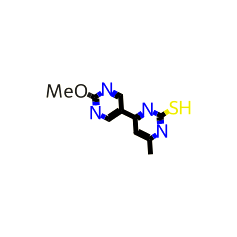 COc1ncc(-c2cc(C)nc(S)n2)cn1